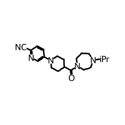 CC(C)N1CCCN(C(=O)C2CCN(c3ccc(C#N)nc3)CC2)CC1